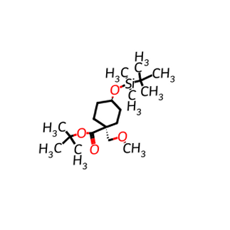 COC[C@]1(C(=O)OC(C)(C)C)CC[C@H](O[Si](C)(C)C(C)(C)C)CC1